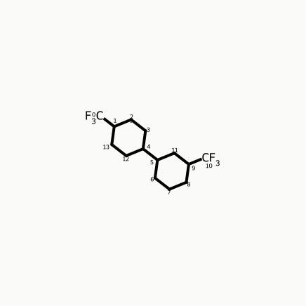 FC(F)(F)C1[CH]CC(C2CCCC(C(F)(F)F)C2)CC1